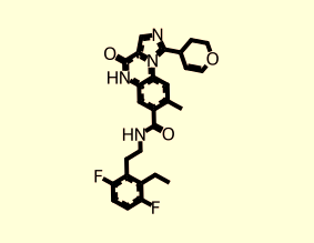 CCc1c(F)ccc(F)c1CCNC(=O)c1cc2[nH]c(=O)c3cnc(C4C=COCC4)n3c2cc1C